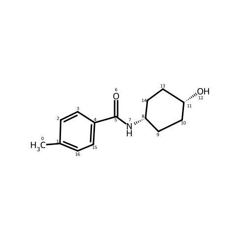 Cc1ccc(C(=O)N[C@H]2CC[C@@H](O)CC2)cc1